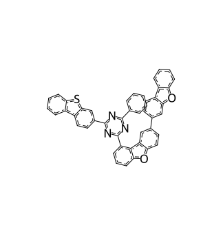 c1ccc(-c2nc(-c3ccc4c(c3)sc3ccccc34)nc(-c3cccc4oc5ccc(-c6ccc7c(c6)oc6ccccc67)cc5c34)n2)cc1